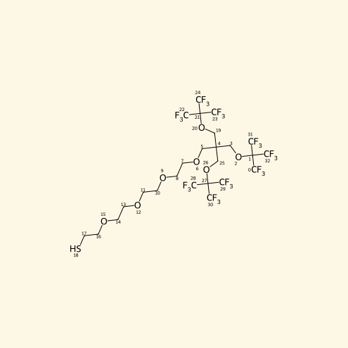 FC(F)(F)C(OCC(COCCOCCOCCOCCS)(COC(C(F)(F)F)(C(F)(F)F)C(F)(F)F)COC(C(F)(F)F)(C(F)(F)F)C(F)(F)F)(C(F)(F)F)C(F)(F)F